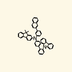 CC1(C)c2ccccc2-c2ccc(N(c3ccc(-c4ccccc4-n4c5ccccc5c5ccccc54)cc3)c3cccc(-c4ccc5ccccc5c4)c3)cc21